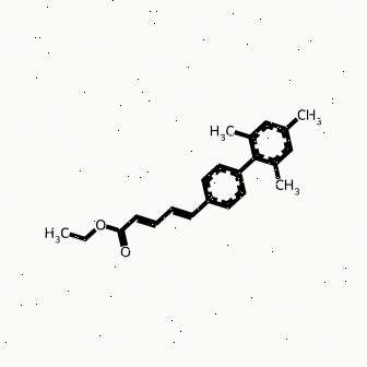 CCOC(=O)/C=C/C=C/c1ccc(-c2c(C)cc(C)cc2C)cc1